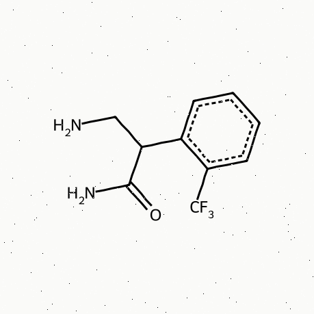 NCC(C(N)=O)c1ccccc1C(F)(F)F